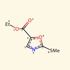 CCOC(=O)c1cnc(SC)o1